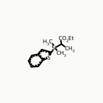 CCOC(=O)C(C)[Si](C)(C)c1cc2ccccc2s1